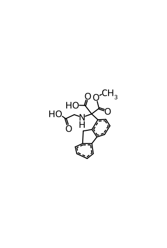 COC(=O)C(NCC(=O)O)(C(=O)O)c1cccc2c1Cc1ccccc1-2